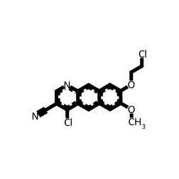 COc1cc2cc3c(Cl)c(C#N)cnc3cc2cc1OCCCl